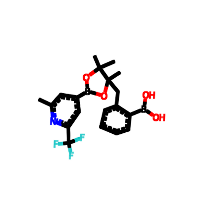 Cc1cc(B2OC(C)(C)C(C)(Cc3ccccc3B(O)O)O2)cc(C(F)(F)F)n1